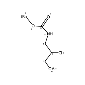 CC(=O)OCC(Cl)CNC(=O)OC(C)(C)C